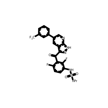 CCCS(=O)(=O)Nc1ccc(F)c(C(=O)c2n[nH]c3ncc(-c4cccc(C(F)(F)F)c4)cc23)c1F